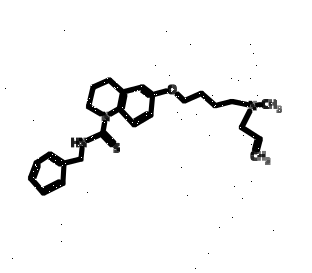 C=CCN(C)CCCCOc1ccc2c(c1)CCCN2C(=S)NCc1ccccc1